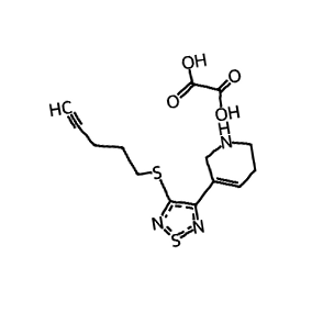 C#CCCCSc1nsnc1C1=CCCNC1.O=C(O)C(=O)O